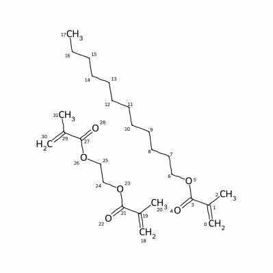 C=C(C)C(=O)OCCCCCCCCCCCC.C=C(C)C(=O)OCCOC(=O)C(=C)C